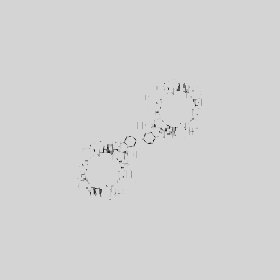 CC(C)[C@H]1NC(=O)C2C[C@@]3(O)c4cc(-c5ccc6c(c5)[C@]5(O)C[C@H]7C(=O)N[C@H](C(C)C)C(=O)N8NCCC[C@H]8C(=O)N8NCCC[C@]8(C)C(=O)N(C)[C@@H](C)C(=O)N8NCCC[C@@H]8C(=O)N7[C@@H]5N6)ccc4N[C@H]3N2C(=O)[C@H]2CCCNN2C(=O)[C@H](C)N(C)C(=O)[C@H]2CCCNN2C(=O)[C@@H]2CCCNN2C1=O